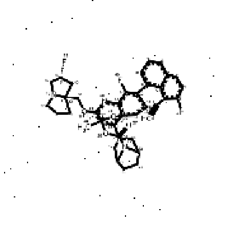 C#Cc1c(F)ccc2cccc(-c3c(F)cc4c(N5CC6CCC(C5)N6C(=O)OC(C)(C)C)nc(OC[C@@]56CCCN5C[C@H](F)C6)nc4c3F)c12